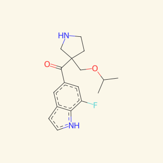 CC(C)OCC1(C(=O)c2cc(F)c3[nH]ccc3c2)CCNC1